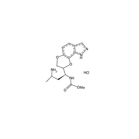 COC(=O)N[C@@H](CC(C)N)C1COc2ccc3cn[nH]c3c2O1.Cl